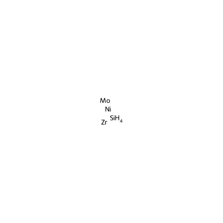 [Mo].[Ni].[SiH4].[Zr]